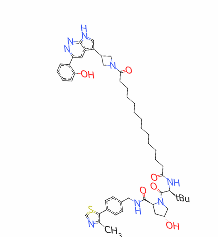 Cc1ncsc1-c1ccc(CNC(=O)[C@@H]2C[C@@H](O)CN2C(=O)[C@@H](NC(=O)CCCCCCCCCCCCC(=O)N2CC(c3c[nH]c4nnc(-c5ccccc5O)cc34)C2)C(C)(C)C)cc1